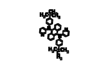 CC(C)(C)c1ccc(N(c2cccnc2)c2c3ccccc3c(N(c3ccc(C(C)(C)C)cc3)c3cccnc3)c3ccccc23)cc1